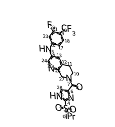 CC(C)S(=O)(=O)c1nc(C(=O)N2CCc3cc(Nc4ccc(C(F)(F)F)c(F)c4)cnc3C2)c[nH]1